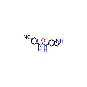 N#Cc1ccc(NC(=O)Nc2ccc3[nH]ccc3c2)cc1